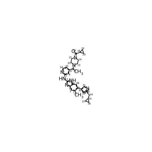 Cc1cc2nc(Nc3cc(C(C)N4CCN(C(=O)C5CC5)CC4)ccn3)[nH]c2cc1-c1cnn(CC2CC2)c1